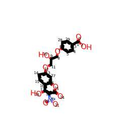 O=C(O)c1ccc(OCC(O)COc2ccc3c(O)c([N+](=O)[O-])c(=O)oc3c2)cc1